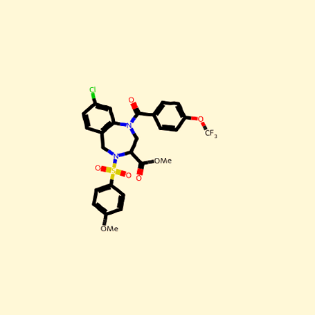 COC(=O)C1CN(C(=O)c2ccc(OC(F)(F)F)cc2)c2cc(Cl)ccc2CN1S(=O)(=O)c1ccc(OC)cc1